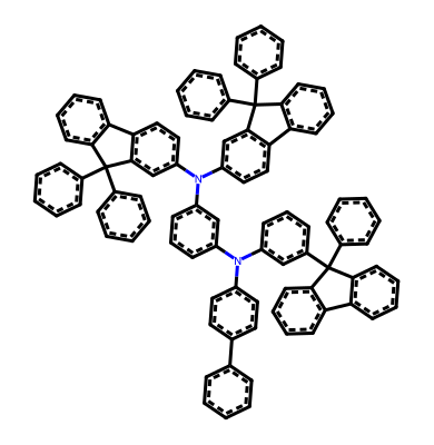 c1ccc(-c2ccc(N(c3cccc(N(c4ccc5c(c4)C(c4ccccc4)(c4ccccc4)c4ccccc4-5)c4ccc5c(c4)C(c4ccccc4)(c4ccccc4)c4ccccc4-5)c3)c3cccc(C4(c5ccccc5)c5ccccc5-c5ccccc54)c3)cc2)cc1